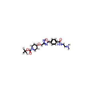 CN(C)CCNC(=O)c1ccc(-c2nc(COC3CCN(C(=O)OC(C)(C)C)CC3)no2)cc1